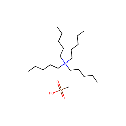 CCCCC[N+](CCCCC)(CCCCC)CCCCC.CS(=O)(=O)O